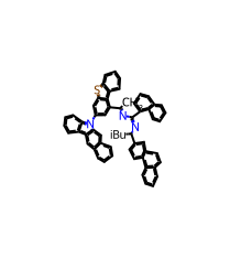 CCC(C)C(/N=C(\N=C(/C)c1cc(-n2c3ccccc3c3cc4ccccc4cc32)cc2sc3ccccc3c12)c1cccc2ccccc12)c1ccc2c(ccc3ccccc32)c1